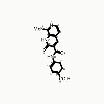 CNc1nccc2cc(C(=O)NC3=CC=C(C(=O)O)CC3)c(=O)[nH]c12